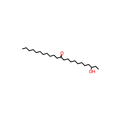 CCCCCCCCCCCC(=O)CCCCCCCCC(O)CC